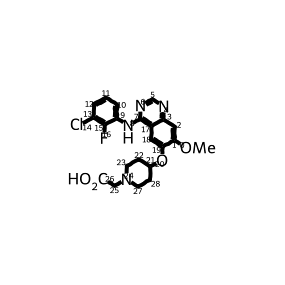 COc1cc2ncnc(Nc3cccc(Cl)c3F)c2cc1OC1CCN(CC(=O)O)CC1